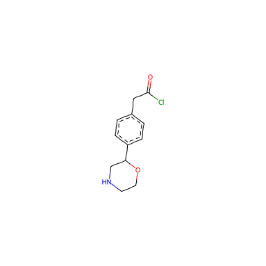 O=C(Cl)Cc1ccc(C2CNCCO2)cc1